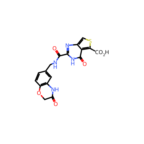 O=C1COc2ccc(CNC(=O)c3nc4csc(C(=O)O)c4c(=O)[nH]3)cc2N1